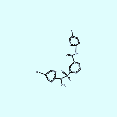 CN(c1ccc(Br)cc1)S(=O)(=O)c1cccc(C(=O)Nc2ccc(F)cn2)c1